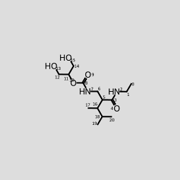 CCNC(=O)C(CNC(=O)OC(CO)CO)C(C)C(C)C